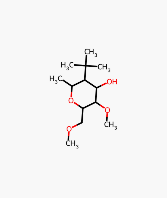 COCC1OC(C)C(C(C)(C)C)C(O)C1OC